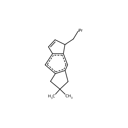 CC(C)C[C]1C=Cc2cc3c(cc21)CC(C)(C)C3